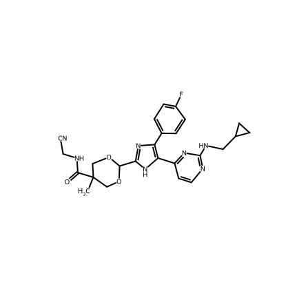 CC1(C(=O)NCC#N)COC(c2nc(-c3ccc(F)cc3)c(-c3ccnc(NCC4CC4)n3)[nH]2)OC1